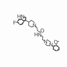 COc1ccccc1N1CCN(CCNC(=O)CCN2CCC(c3c[nH]c4cc(F)ccc34)CC2)CC1